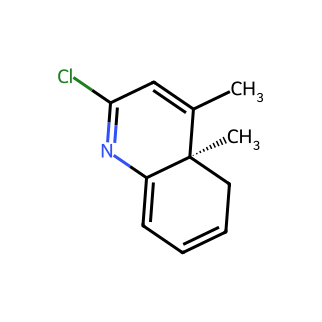 CC1=CC(Cl)=NC2=CC=CC[C@]12C